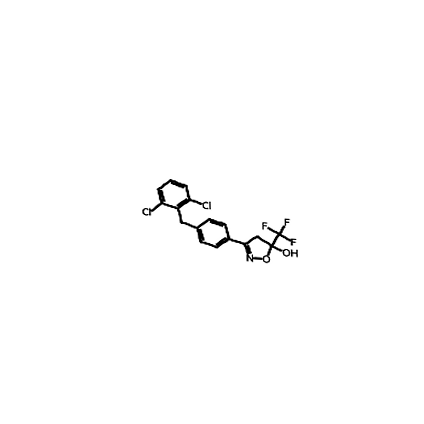 OC1(C(F)(F)F)CC(c2ccc(Cc3c(Cl)cccc3Cl)cc2)=NO1